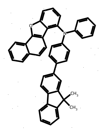 CC1(C)c2ccccc2-c2ccc(-c3ccc(N(c4ccccc4)c4cccc5oc6c7ccccc7ccc6c45)cc3)cc21